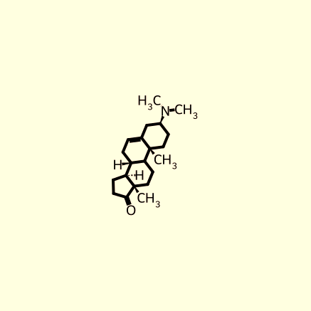 CN(C)[C@H]1CC[C@@]2(C)C(=CC[C@@H]3C2CC[C@]2(C)C(=O)CC[C@@H]32)C1